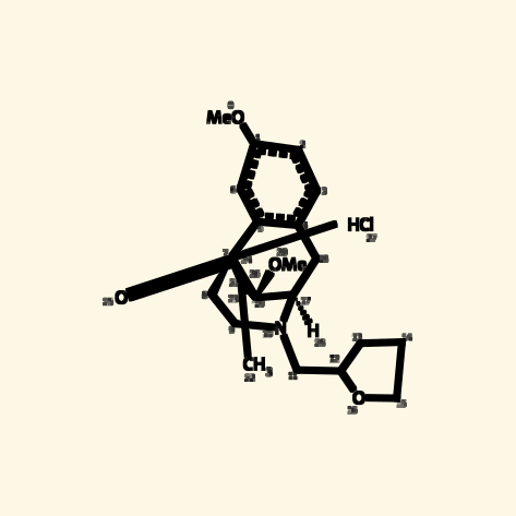 COc1ccc2c(c1)[C@]13CCN(CC4CCCO4)[C@H](C2)[C@]1(OC)C(C)CC(=O)C3.Cl